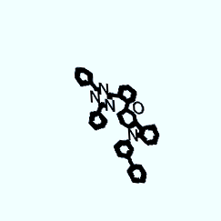 C1=CC2c3c(cccc3-c3nc(-c4ccccc4)nc(-c4ccccc4)n3)OC2c2c1n(-c1cccc(-c3ccccc3)c1)c1ccccc21